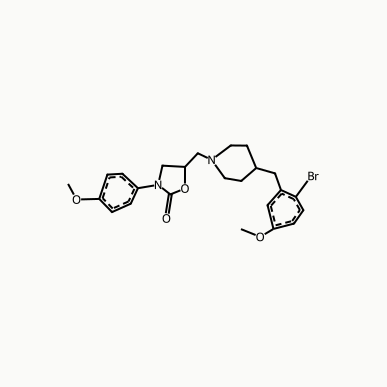 COc1ccc(N2CC(CN3CCC(Cc4cc(OC)ccc4Br)CC3)OC2=O)cc1